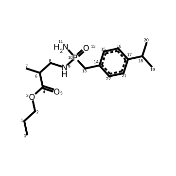 CCCOC(=O)C(C)CNP(N)(=O)Cc1ccc(C(C)C)cc1